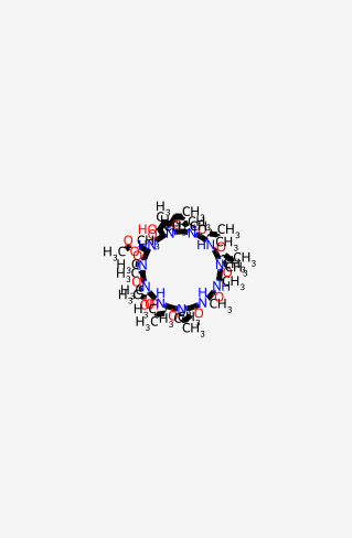 CC=CC[C@@H](C)[C@@H](O)[C@H]1C(=O)N[C@@H]([C@@H](C)OC(C)=O)C(=O)N(C)[C@H](C)C(=O)N(C)[C@@H](C(C)O)C(=O)N[C@@H](CC(C)C)C(=O)N(C)[C@@H](CC(C)C)C(=O)N[C@@H](C)C(=O)N[C@H](C)C(=O)N(C)[C@@H](CC(C)C)C(=O)N[C@@H](CC(C)C)C(=O)N(C)[C@@H](C(C)C)C(=O)N1C